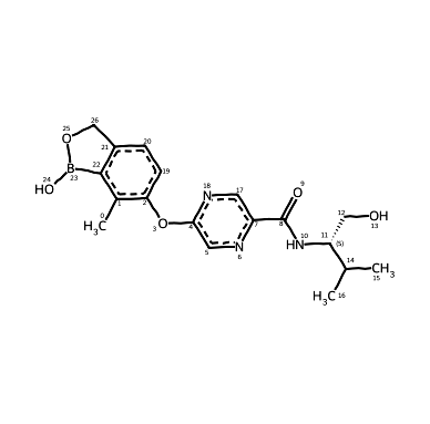 Cc1c(Oc2cnc(C(=O)N[C@H](CO)C(C)C)cn2)ccc2c1B(O)OC2